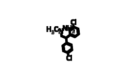 CN(N)CC(c1ccc(Cl)cc1)c1cccc(Cl)c1